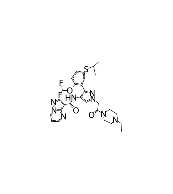 CCN1CCN(C(=O)Cn2cc(NC(=O)c3cnn4cccnc34)c(-c3cc(SC(C)C)ccc3OC(F)F)n2)CC1